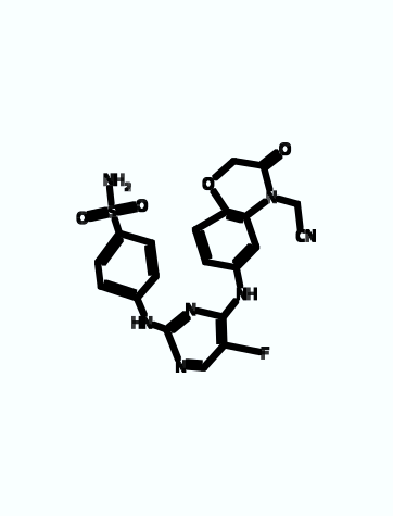 N#CCN1C(=O)COc2ccc(Nc3nc(Nc4ccc(S(N)(=O)=O)cc4)ncc3F)cc21